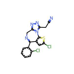 N#CCc1nnc2n1-c1sc(Cl)cc1C(c1ccccc1Cl)=NC2